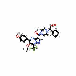 COc1ccc(-c2nc3c(C(=O)N4CCN([C@@H](CO)c5ccccc5)C[C@H]4C)cnn3c(C(F)(F)F)c2OC)cc1